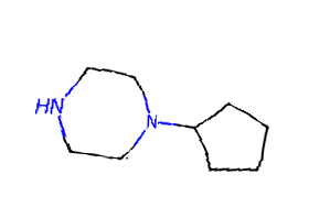 [CH]1CNCCN1C1CCCC1